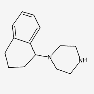 c1ccc2c(c1)CCCC2N1CCNCC1